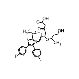 CC(CCO)OC(/C=C/n1c(C(C)C)nc(-c2ccc(F)cc2)c1-c1ccc(F)cc1)CC(=O)CC(=O)O